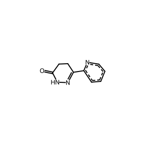 O=C1CCC(c2ccccn2)=NN1